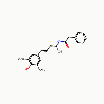 COc1cc(/C=C/C=C(\C#N)NC(=O)Cc2ccccc2)cc(OC)c1O